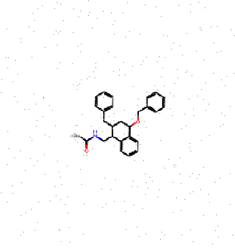 CCCCC(=O)NCC1c2ccccc2C(OCc2ccccc2)CC1Cc1ccccc1